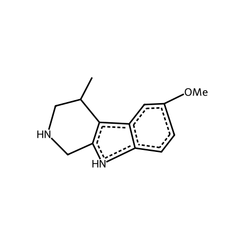 COc1ccc2[nH]c3c(c2c1)C(C)CNC3